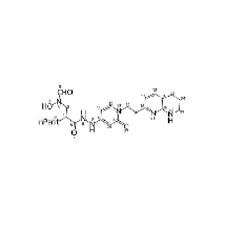 CCCCCC(CN(O)C=O)C(=O)NNc1ccn(CCc2ccc3c(n2)NCCC3)c(=O)c1